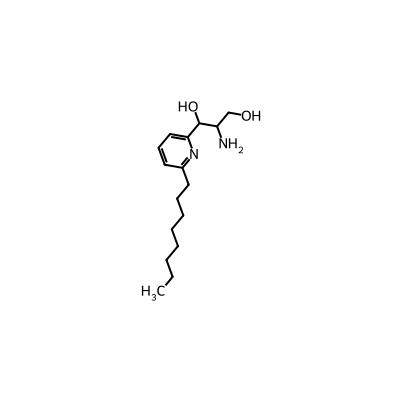 CCCCCCCCc1cccc(C(O)C(N)CO)n1